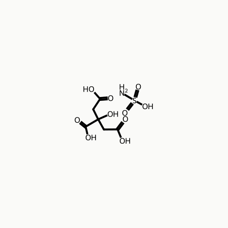 NS(=O)(=O)O.O=C(O)CC(O)(CC(=O)O)C(=O)O